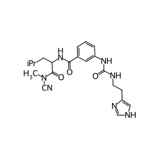 CC(C)CC(NC(=O)c1cccc(NC(=O)NCCc2c[nH]cn2)c1)C(=O)N(C)C#N